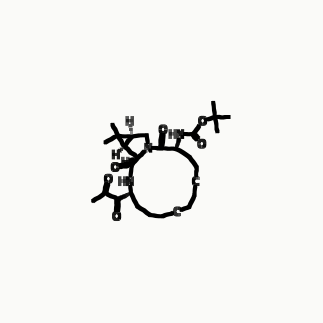 CC(=O)C(=O)[C@@H]1CCCCCCCCC[C@H](NC(=O)OC(C)(C)C)C(=O)N2C[C@H]3[C@@H]([C@H]2C(=O)N1)C3(C)C